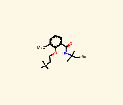 COc1cccc(C(=O)NC(C)(C)CC(C)(C)C)c1OCC[Si](C)(C)C